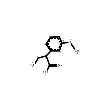 CCC(C(=O)O)c1cccc(OC)c1